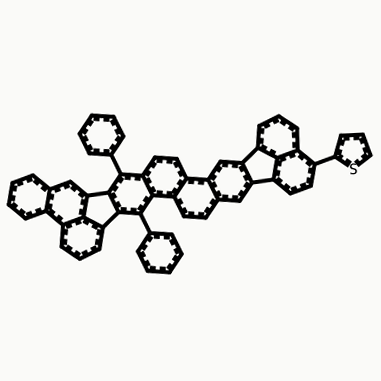 c1ccc(-c2c3c(c(-c4ccccc4)c4c2ccc2c5cc6c(cc5ccc24)-c2ccc(-c4cccs4)c4cccc-6c24)-c2cccc4c2c-3cc2ccccc24)cc1